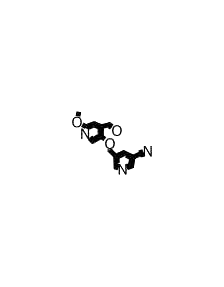 COc1cc(C=O)c(OCc2cncc(C#N)c2)cn1